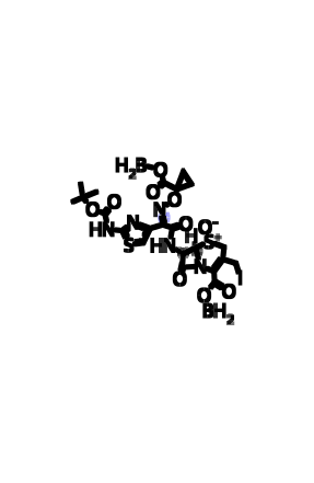 BOC(=O)C1=C(CI)C[S+]([O-])[C@@H]2[C@H](NC(=O)/C(=N\OC3(C(=O)OB)CC3)c3csc(NC(=O)OC(C)(C)C)n3)C(=O)N12